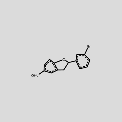 O=Cc1ccc2c(c1)CC(c1cccc(Br)c1)O2